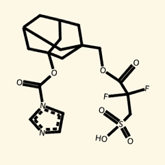 O=C(OC12CC3CC(CC(COC(=O)C(F)(F)CS(=O)(=O)O)(C3)C1)C2)n1ccnc1